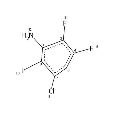 Nc1c(F)c(F)cc(Cl)c1I